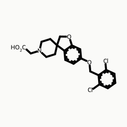 O=C(O)CN1CCC2(CC1)COc1cc(OCc3c(Cl)cccc3Cl)ccc12